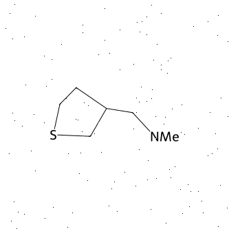 CNCC1CCSC1